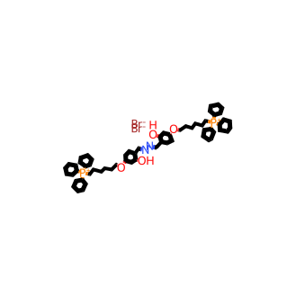 Oc1cc(OCCCCCC[P+](c2ccccc2)(c2ccccc2)c2ccccc2)ccc1C=N/N=C/c1ccc(OCCCCCC[P+](c2ccccc2)(c2ccccc2)c2ccccc2)cc1O.[Br-].[Br-]